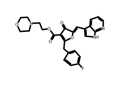 O=C(OCCN1CCOCC1)C1=C(Cc2ccc(F)cc2)O/C(=C\c2c[nH]c3ncccc23)C1=O